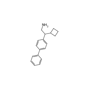 NCC(c1ccc(-c2ccccc2)cc1)C1CCC1